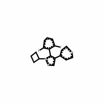 Fc1cccc(F)c1-c1c(-c2ccncc2)cnn1C1CCC1